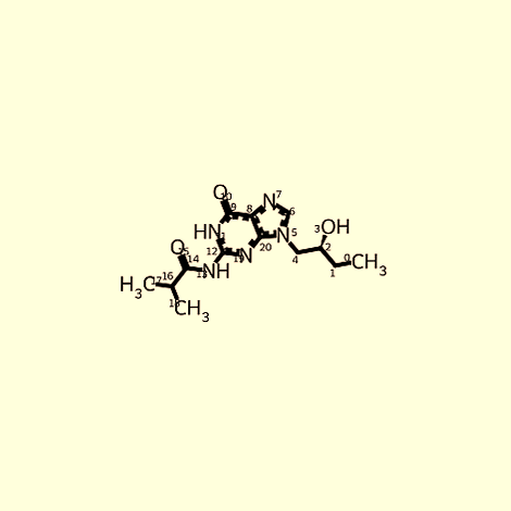 CC[C@H](O)Cn1cnc2c(=O)[nH]c(NC(=O)C(C)C)nc21